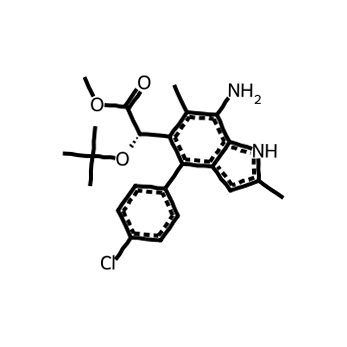 COC(=O)[C@@H](OC(C)(C)C)c1c(C)c(N)c2[nH]c(C)cc2c1-c1ccc(Cl)cc1